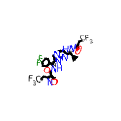 O=C(CCC(F)(F)F)N[C@@H](c1ccn2cc([C@@H](NC(=O)c3conc3CCC(F)(F)F)C3CCC(F)(F)CC3)nc2n1)C1CC1